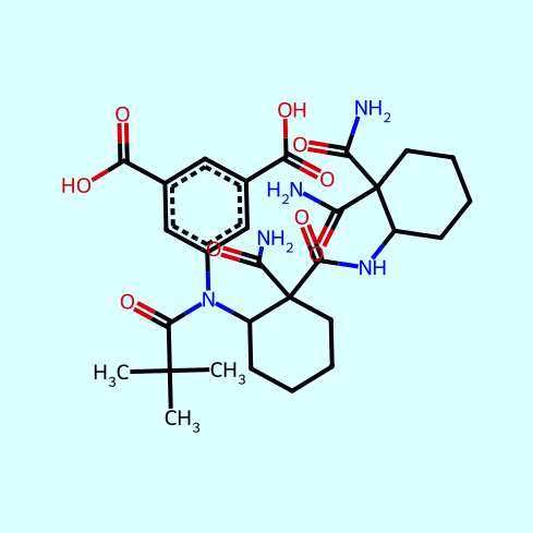 CC(C)(C)C(=O)N(c1cc(C(=O)O)cc(C(=O)O)c1)C1CCCCC1(C(N)=O)C(=O)NC1CCCCC1(C(N)=O)C(N)=O